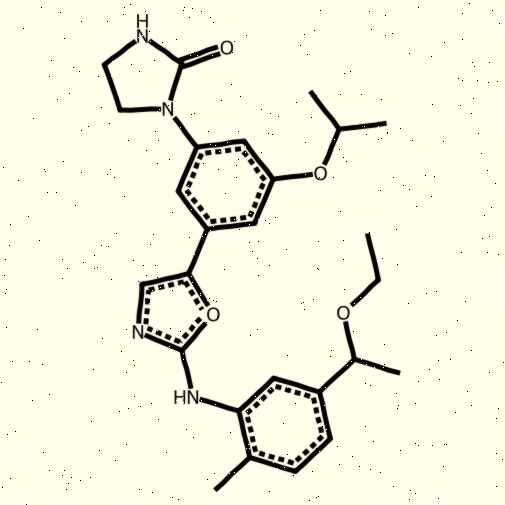 CCOC(C)c1ccc(C)c(Nc2ncc(-c3cc(OC(C)C)cc(N4CCNC4=O)c3)o2)c1